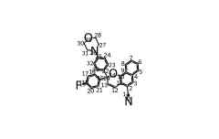 N#Cc1cc2ccccc2c2c1C=CC(c1ccc(F)cc1)(c1ccc(N3CCOCC3)cc1)O2